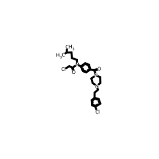 CC(C)CCCN(C(=O)CCl)c1ccc(C(=O)N2CCN(CCc3ccc(Cl)cc3)CC2)cc1